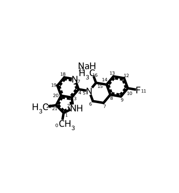 Cc1[nH]c2c(N3CCc4cc(F)ccc4C3C)nccc2c1C.[NaH]